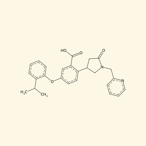 CC(C)c1ccccc1Oc1ccc(C2CC(=O)N(Cc3ccccn3)C2)c(C(=O)O)c1